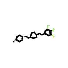 C[C@H]1CC[C@H](CCC2CCC(CCc3cc(F)c(F)c(F)c3)CC2)CC1